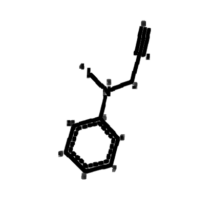 C#CCN(I)c1ccccc1